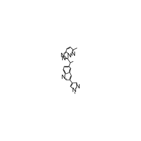 Cc1ccc2nnc(C(C)c3ccc4ncc(-c5cnn(C)c5)cc4c3)n2n1